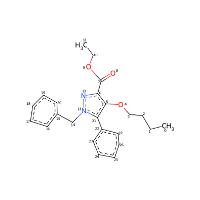 CCCCOc1c(C(=O)OCC)nn(Cc2ccccc2)c1-c1ccccc1